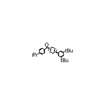 CC(C)c1ccc(C(=O)N2CCN(c3cc(C(C)(C)C)cc(C(C)(C)C)c3)CC2)cc1